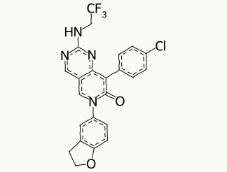 O=c1c(-c2ccc(Cl)cc2)c2nc(NCC(F)(F)F)ncc2cn1-c1ccc2c(c1)CCO2